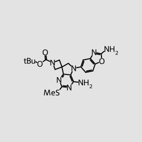 CSc1nc(N)c2c(n1)C1(CN(C(=O)OC(C)(C)C)C1)CN2c1ccc2oc(N)nc2c1